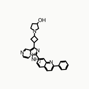 N[N+]12C=CN=CC1=C(C1CC(N3CCC(O)C3)C1)N=C2c1ccc2ccc(-c3ccccc3)nc2c1